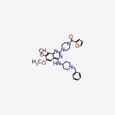 COc1cc2nc(N3CCN(C(=O)c4ccco4)CC3)nc(NC3CCN(Cc4ccccc4)CC3)c2cc1OC